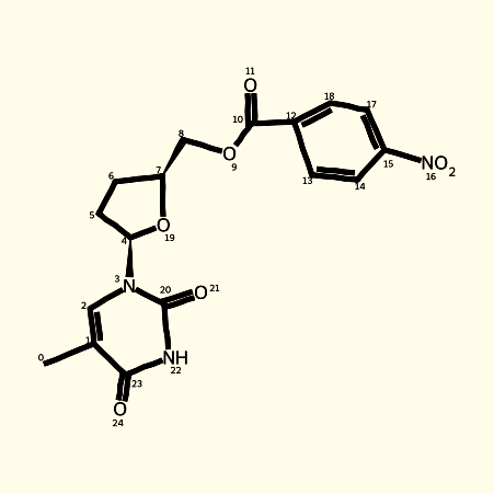 Cc1cn([C@H]2CC[C@@H](COC(=O)c3ccc([N+](=O)[O-])cc3)O2)c(=O)[nH]c1=O